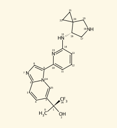 C[C@@](O)(c1ccc2ncc(-c3cccc(N[C@H]4CNCC45CC5)n3)n2c1)C(F)(F)F